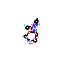 Cc1ccc(NC(=O)N[C@@H](Cc2cc(F)cc(F)c2)C(=O)N[C@H]2COCC3C[C@H](F)CN3C(=O)[C@H](C)NC(=O)C3CCCCN3C(=O)C3CCCN3C2=O)cc1